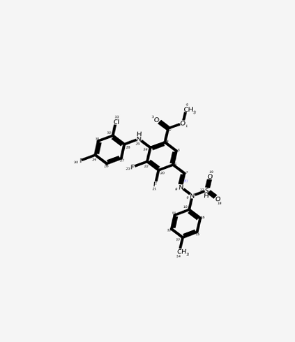 COC(=O)c1cc(/C=N/N(c2ccc(C)cc2)[SH](=O)=O)c(F)c(F)c1Nc1ccc(I)cc1Cl